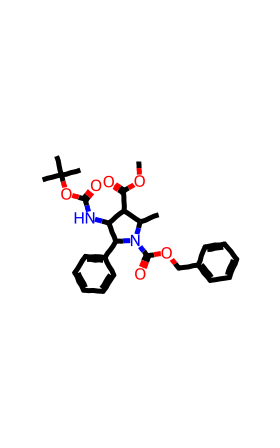 COC(=O)C1C(NC(=O)OC(C)(C)C)C(c2ccccc2)N(C(=O)OCc2ccccc2)C1C